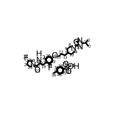 CC(C)c1noc(N2CCC(CCCOc3ccc(C[C@H](N)C(=O)N4CC[C@H](F)C4)c(F)c3)CC2)n1.Cc1ccc(S(=O)(=O)O)cc1